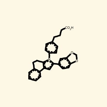 O=C(O)CCCc1ccc(-n2c(-c3ccc4c(c3)OCO4)cc3c2CCc2ccccc2-3)cc1